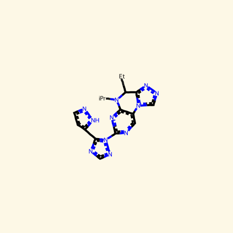 CCC1c2nncn2-c2cnc(-n3ncnc3-c3ccn[nH]3)nc2N1C(C)C